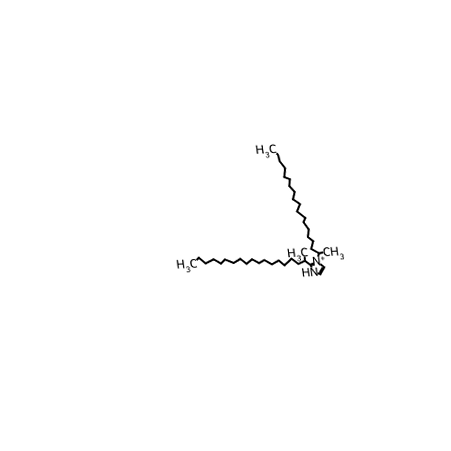 CCCCCCCCCCCCCCCCCC(C)c1[nH]cc[n+]1C(C)CCCCCCCCCCCCCCCCC